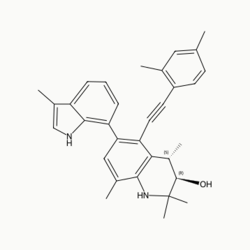 Cc1ccc(C#Cc2c(-c3cccc4c(C)c[nH]c34)cc(C)c3c2[C@H](C)[C@@H](O)C(C)(C)N3)c(C)c1